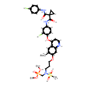 CCOP(=O)(CN(CCCOc1cc2nccc(Oc3ccc(NC(=O)C4(C(=O)Nc5ccc(F)cc5)CC4)cc3F)c2cc1OC)S(C)(=O)=O)OCC